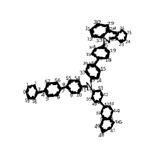 c1ccc(-c2ccc(-c3ccc(N(c4ccc(-c5ccc(-n6c7ccccc7c7ccccc76)cc5)cc4)c4ccc(-c5ccc6ccccc6c5)cc4)cc3)cc2)cc1